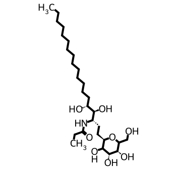 CCCCCCCCCCCCCC[C@@H](O)[C@@H](O)[C@H](CC[C@H]1OC(CO)[C@H](O)[C@H](O)C1O)NC(=O)CC